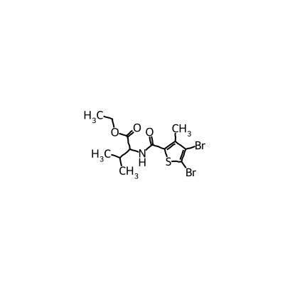 CCOC(=O)C(NC(=O)c1sc(Br)c(Br)c1C)C(C)C